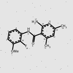 COc1cccc(NC(=O)c2c(C)cc(C)nc2N)c1F